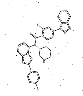 O=C(c1ccc(-n2nnc3cccnc32)cc1F)N(c1nccc2sc(-c3ccc(F)cc3)cc12)[C@@H]1CCCNC1